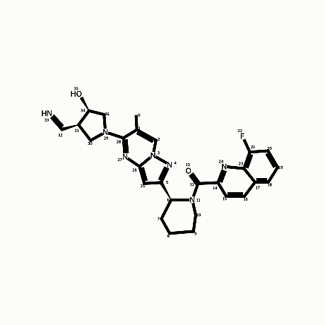 Cc1cn2nc([C@@H]3CCCCN3C(=O)c3ccc4cccc(F)c4n3)cc2nc1N1C[C@@H](C=N)[C@@H](O)C1